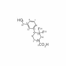 O=C(O)N1CCC(c2cccc(CO)c2)C(F)(F)C1